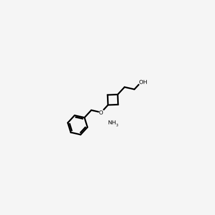 N.OCCC1CC(OCc2ccccc2)C1